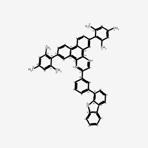 Cc1cc(C)c(-c2ccc3c4ccc(-c5c(C)cc(C)cc5C)cc4c4nc(-c5cccc(-c6cccc7c6oc6ccccc67)c5)cnc4c3c2)c(C)c1